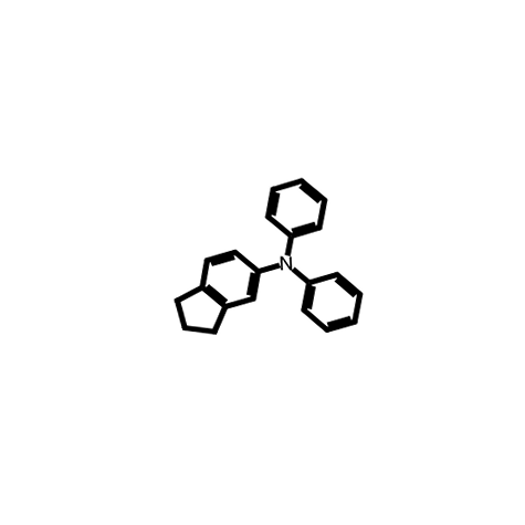 c1ccc(N(c2ccccc2)c2ccc3c(c2)CCC3)cc1